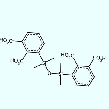 C[Si](C)(O[Si](C)(C)c1cccc(C(=O)O)c1C(=O)O)c1cccc(C(=O)O)c1C(=O)O